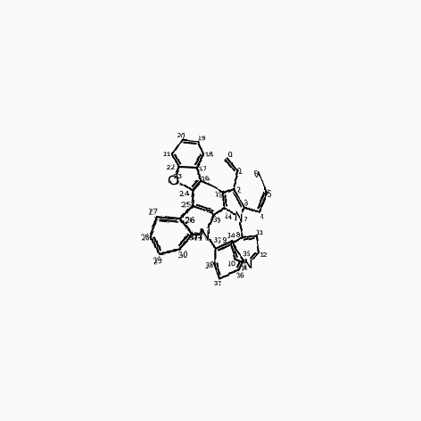 C=Cc1c(/C=C\C)n(-c2ccncc2)c2c1c1c3ccccc3oc1c1c3ccccc3n(-c3ccccc3)c12